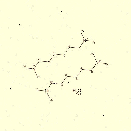 CN(C)CCCCCCN(C)C.CN(C)CCCCCCN(C)C.O